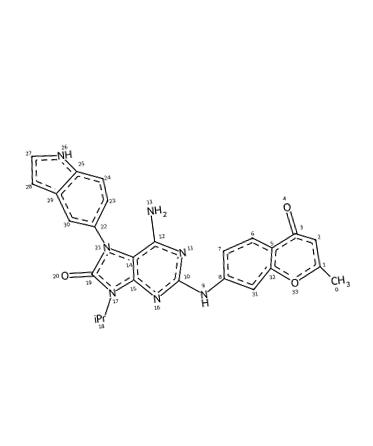 Cc1cc(=O)c2ccc(Nc3nc(N)c4c(n3)n(C(C)C)c(=O)n4-c3ccc4[nH]ccc4c3)cc2o1